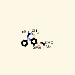 CCCCC1CN(c2ccccc2)c2cc(SC)c(OCC(C=O)OC)cc2SN1C